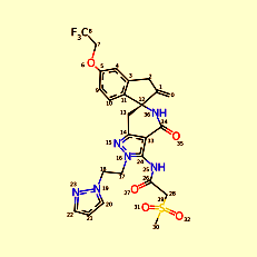 C=C1Cc2cc(OCC(F)(F)F)ccc2[C@]12Cc1nn(CCn3cccn3)c(NC(=O)CS(C)(=O)=O)c1C(=O)N2